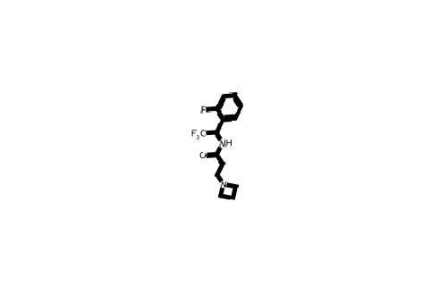 O=C(CCN1CCC1)NC(c1ccccc1F)C(F)(F)F